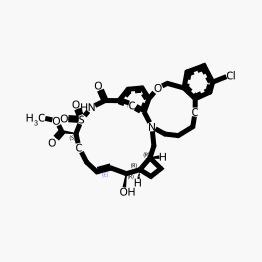 COC(=O)[C@@H]1CC/C=C/[C@H](O)[C@@H]2CC[C@H]2CN2CCCCc3cc(Cl)ccc3COc3ccc(cc32)C(=O)NS1(=O)=O